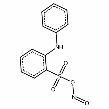 O=NOS(=O)(=O)c1ccccc1Nc1ccccc1